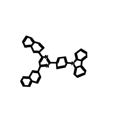 c1ccc2cc(-c3cc(-c4ccc5ccccc5c4)nc(-c4ccc(-n5c6ccccc6c6ccccc65)cc4)n3)ccc2c1